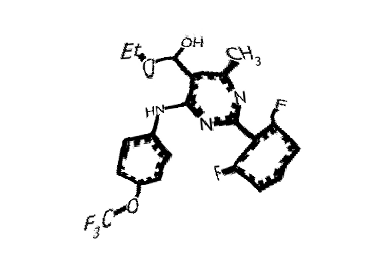 CCOC(O)c1c(C)nc(-c2c(F)cccc2F)nc1Nc1ccc(OC(F)(F)F)cc1